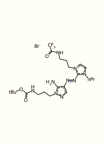 CCCn1cc[n+](CCCNC(=O)C(F)(F)F)c1/N=N/c1cnn(CCCNC(=O)OC(C)(C)C)c1N.[Br-]